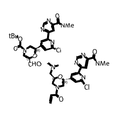 C=CC(=O)N1C[C@@H](CN(C)C)O[C@H](c2cc(Cl)nc(-c3cc(C(=O)NC)ncn3)c2)C1.CNC(=O)c1cc(-c2cc([C@@H]3CN(C(=O)OC(C)(C)C)C[C@@H](C=O)O3)cc(Cl)n2)ncn1